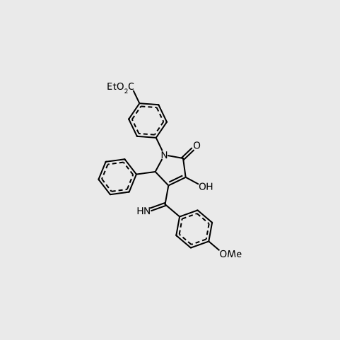 CCOC(=O)c1ccc(N2C(=O)C(O)=C(C(=N)c3ccc(OC)cc3)C2c2ccccc2)cc1